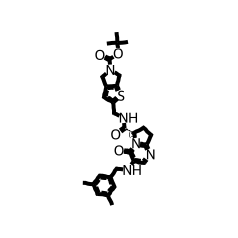 Cc1cc(C)cc(CNc2cnc3n(c2=O)[C@H](C(=O)NCc2cc4c(s2)CN(C(=O)OC(C)(C)C)C4)CC3)c1